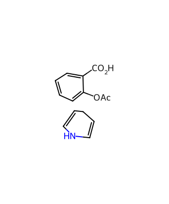 C1=CNC=CC1.CC(=O)Oc1ccccc1C(=O)O